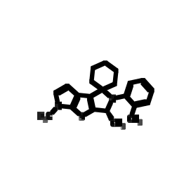 Cc1ccccc1N1[C@@H](C)c2sc3c(ccn3C)c2C12CCCCC2